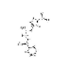 CC(Cc1ccc(C(N)=O)s1)NC[C@H](O)c1ccccc1